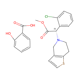 COC(=O)[C@H](c1ccccc1Cl)N1CCc2sccc2C1.O=C(O)c1ccccc1O